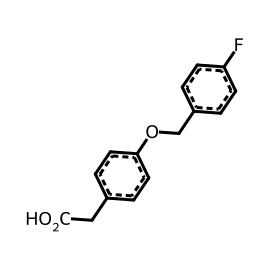 O=C(O)Cc1ccc(OCc2ccc(F)cc2)cc1